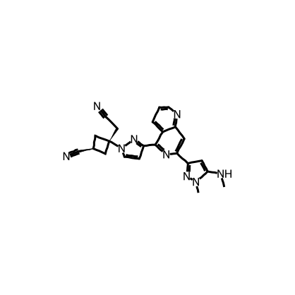 CNc1cc(-c2cc3ncccc3c(-c3ccn([C@]4(CC#N)C[C@@H](C#N)C4)n3)n2)nn1C